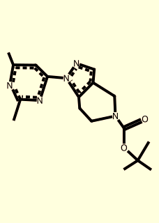 Cc1cc(-n2ncc3c2CCN(C(=O)OC(C)(C)C)C3)nc(C)n1